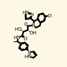 C[C@@H](NC(=O)[C@H](O)[C@@H](O)C(=O)N1CCc2cc(Cl)ccc2C1c1cc[nH]n1)c1ccc(N2C=CCN2)cc1